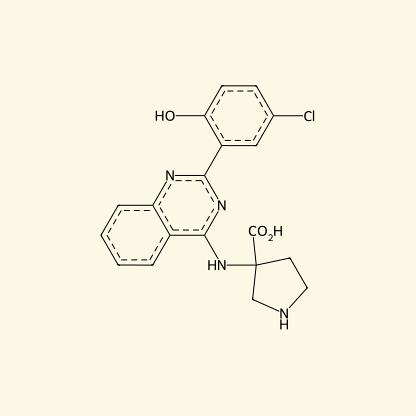 O=C(O)C1(Nc2nc(-c3cc(Cl)ccc3O)nc3ccccc23)CCNC1